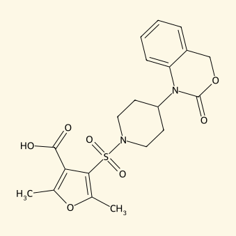 Cc1oc(C)c(S(=O)(=O)N2CCC(N3C(=O)OCc4ccccc43)CC2)c1C(=O)O